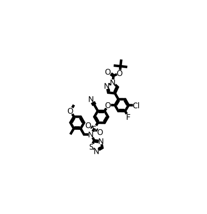 COc1ccc(CN(c2ncns2)S(=O)(=O)c2ccc(Oc3cc(F)c(Cl)cc3-c3cnn(C(=O)OC(C)(C)C)c3)c(C#N)c2)c(C)c1